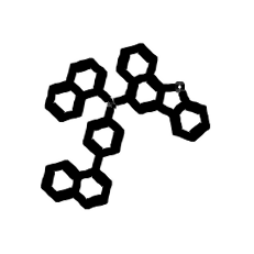 c1ccc2c(-c3ccc(N(c4cccc5ccccc45)c4cc5c6ccccc6oc5c5ccccc45)cc3)cccc2c1